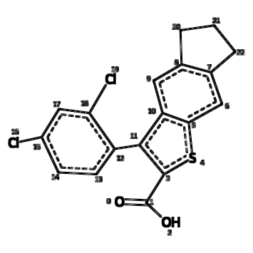 O=C(O)c1sc2cc3c(cc2c1-c1ccc(Cl)cc1Cl)CCC3